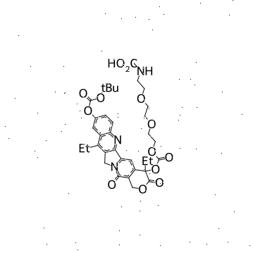 CCc1c2c(nc3ccc(OC(=O)OC(C)(C)C)cc13)-c1cc3c(c(=O)n1C2)COC(=O)C3(CC)OC(=O)OCCOCCOCCNC(=O)O